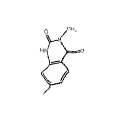 Cn1c(=O)[nH]c2cc(I)ccc2c1=O